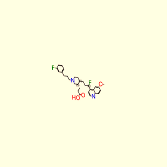 COc1ccc2nccc([C@H](F)CC[C@@H]3CCN(CCCc4cccc(F)c4)C[C@H]3CCC(=O)O)c2c1